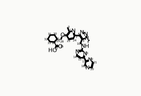 Cc1nc(-c2nnn(C)c2CNc2nccc(-c3cnccn3)n2)ccc1OC[C@H]1CCCC[C@@H]1C(=O)O